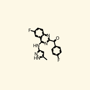 Cc1cc(Nc2nc(C(=O)c3ccc(F)cc3)nc3ccc(F)cc23)n[nH]1